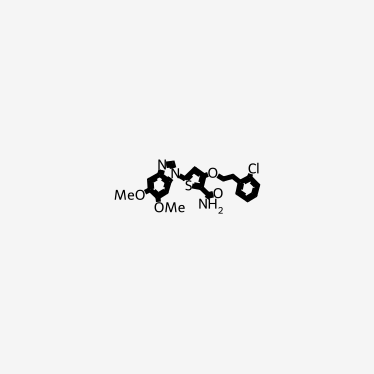 COc1cc2ncn(-c3cc(OCCc4ccccc4Cl)c(C(N)=O)s3)c2cc1OC